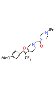 COc1ccc(-c2oc3c(c2C(F)(F)F)CCN(CC(=O)N2CCN(C(C)C)CC2)C3)cc1